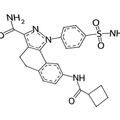 NC(=O)c1nn(-c2ccc(S(N)(=O)=O)cc2)c2c1CCc1ccc(NC(=O)C3CCC3)cc1-2